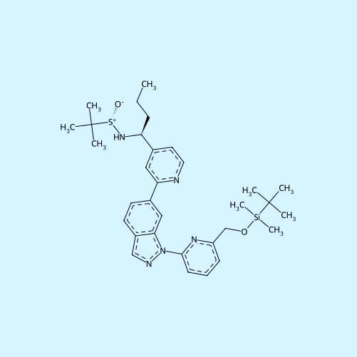 CCC[C@H](N[S@@+]([O-])C(C)(C)C)c1ccnc(-c2ccc3cnn(-c4cccc(CO[Si](C)(C)C(C)(C)C)n4)c3c2)c1